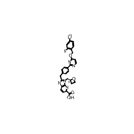 O=C(O)c1ccc2nc(Cc3ccc(-c4nccc(OCc5ccc(Cl)cc5F)n4)cc3)n(C[C@@H]3CCO3)c2n1